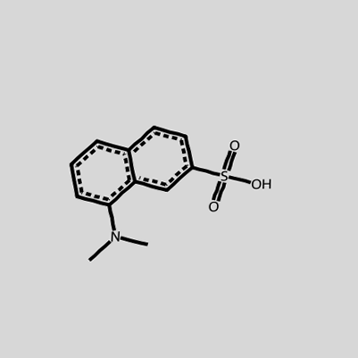 CN(C)c1cccc2ccc(S(=O)(=O)O)cc12